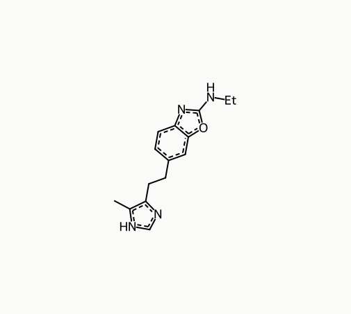 CCNc1nc2ccc(CCc3nc[nH]c3C)cc2o1